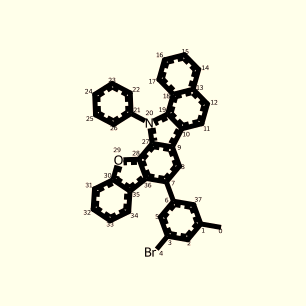 Cc1cc(Br)cc(-c2cc3c4ccc5ccccc5c4n(-c4ccccc4)c3c3oc4ccccc4c23)c1